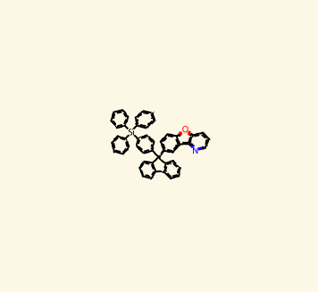 c1ccc([Si](c2ccccc2)(c2ccccc2)c2ccc(C3(c4ccc5oc6cccnc6c5c4)c4ccccc4-c4ccccc43)cc2)cc1